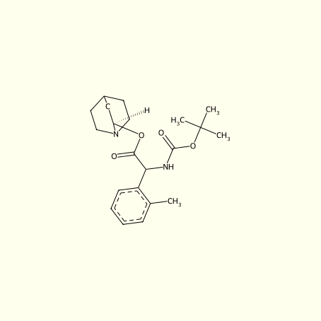 Cc1ccccc1C(NC(=O)OC(C)(C)C)C(=O)O[C@@H]1CC2CCN1CC2